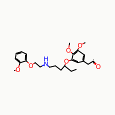 CCC(CCCNCCOc1ccccc1OC)Oc1cc(C[C]=O)cc(OC)c1OC